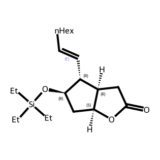 CCCCCC/C=C/[C@@H]1[C@H]2CC(=O)O[C@H]2C[C@H]1O[Si](CC)(CC)CC